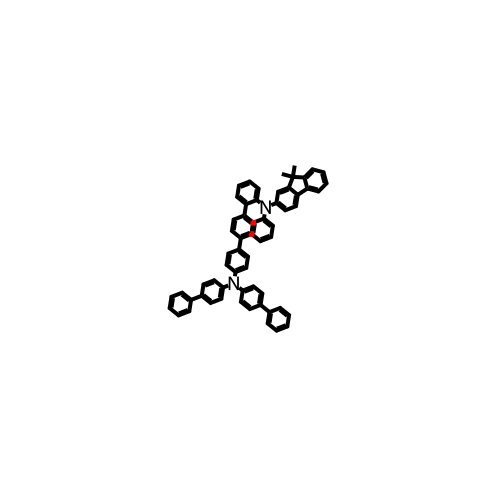 CC1(C)c2ccccc2-c2ccc(N(c3ccccc3)c3ccccc3-c3ccc(-c4ccc(N(c5ccc(-c6ccccc6)cc5)c5ccc(-c6ccccc6)cc5)cc4)cc3)cc21